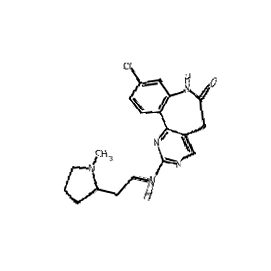 CN1CCCC1CCNc1ncc2c(n1)-c1ccc(Cl)cc1NC(=O)C2